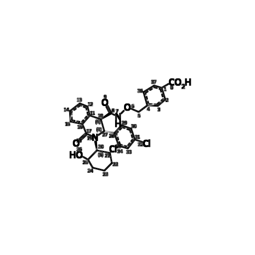 O=C(O)c1ccc(CONC(=O)[C@@H]2c3ccccc3C(=O)N([C@H]3CCCCC3O)[C@H]2c2ccc(Cl)cc2Cl)cc1